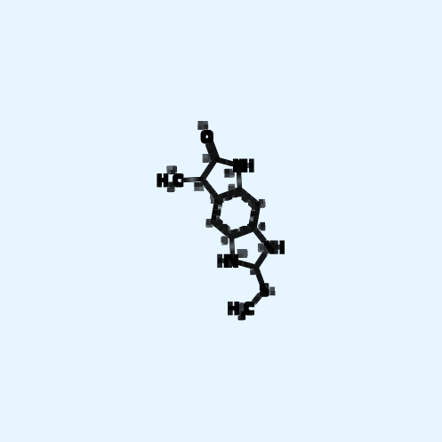 CSC1Nc2cc3c(cc2N1)C(C)C(=O)N3